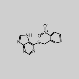 O=[N+]([O-])c1ccccc1CSc1ncnc2nc[nH]c12